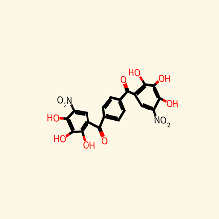 O=C(c1ccc(C(=O)c2cc([N+](=O)[O-])c(O)c(O)c2O)cc1)c1cc([N+](=O)[O-])c(O)c(O)c1O